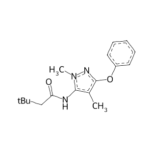 Cc1c(Oc2ccccc2)nn(C)c1NC(=O)CC(C)(C)C